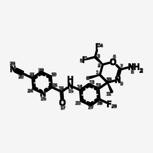 C[C@H]1[C@@H](C(F)F)OC(N)=N[C@]1(C)c1cc(NC(=O)c2ccc(C#N)cn2)ccc1F